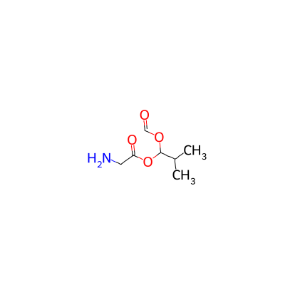 CC(C)C(OC=O)OC(=O)CN